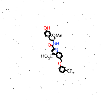 COC[C@H](Cc1ccc(O)cc1)NC(=O)c1cc(C(=O)O)c2cc(COc3cccc(C(F)(F)F)c3)ccc2n1